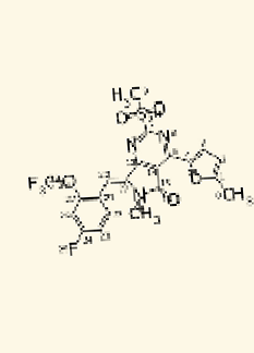 Cc1ccc(-c2nc(S(C)(=O)=O)nc3c2C(=O)N(C)/C3=C\c2ccc(F)cc2OC(F)(F)F)o1